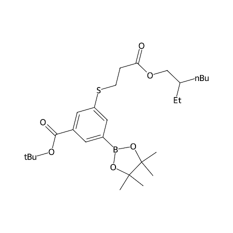 CCCCC(CC)COC(=O)CCSc1cc(B2OC(C)(C)C(C)(C)O2)cc(C(=O)OC(C)(C)C)c1